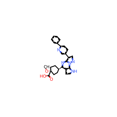 CO[C@]1(C(=O)O)CC[C@@H](c2nc3c(-c4ccc(-c5ccccc5)nc4)cnn3c3[nH]ccc32)CC1